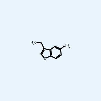 Bc1ccc2scc(CC)c2c1